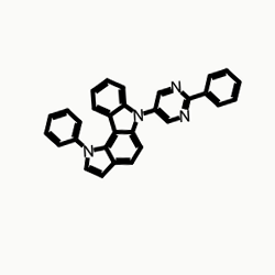 c1ccc(-c2ncc(-n3c4ccccc4c4c5c(ccc43)ccn5-c3ccccc3)cn2)cc1